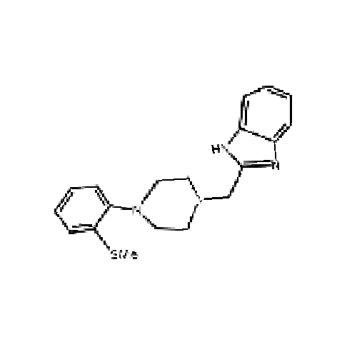 CSc1ccccc1N1CCN(Cc2nc3ccccc3[nH]2)CC1